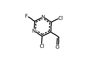 O=Cc1c(Cl)nc(F)nc1Cl